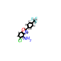 Nc1c(Cl)ccc2oc(-c3ccc(C(F)(F)F)cc3)nc12